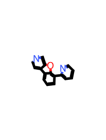 c1ccc(-c2cccc3c2oc2cnccc23)nc1